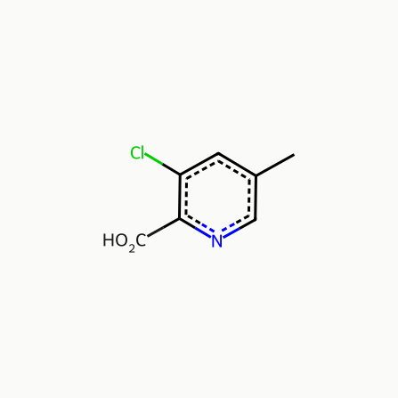 Cc1cnc(C(=O)O)c(Cl)c1